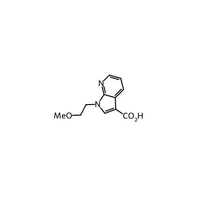 COCCn1cc(C(=O)O)c2cccnc21